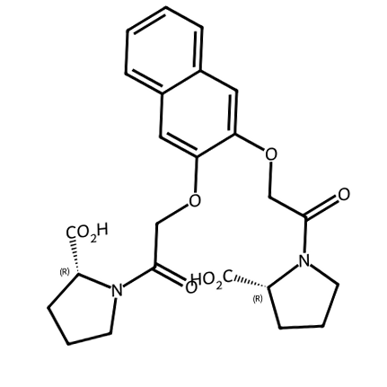 O=C(O)[C@H]1CCCN1C(=O)COc1cc2ccccc2cc1OCC(=O)N1CCC[C@@H]1C(=O)O